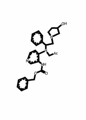 CC(=O)CN(c1ccncc1NC(=O)OCc1ccccc1)C(CN1CCC(O)C1)c1ccccc1